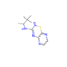 CC(NC1=Nc2nccnc2SN1)C(C)(C)C